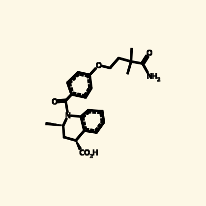 C[C@@H]1C[C@H](C(=O)O)c2ccccc2N1C(=O)c1ccc(OCCC(C)(C)C(N)=O)cc1